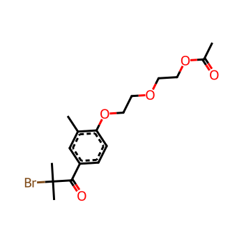 CC(=O)OCCOCCOc1ccc(C(=O)C(C)(C)Br)cc1C